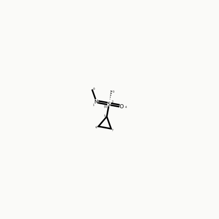 CN=[S@@](C)(=O)C1CC1